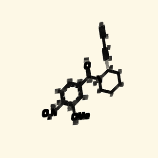 C#CC#C[C@@H]1CCCCN1C(=O)c1ccc([N+](=O)[O-])c(OC)c1